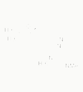 CNCCN(C)Cc1nn2c(c1[C@H]1CC[C@@]3(CC1)CC(C)(C)CO3)CCC2